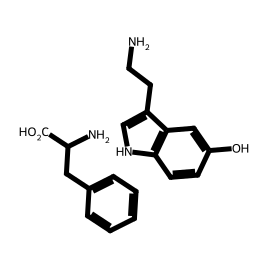 NC(Cc1ccccc1)C(=O)O.NCCc1c[nH]c2ccc(O)cc12